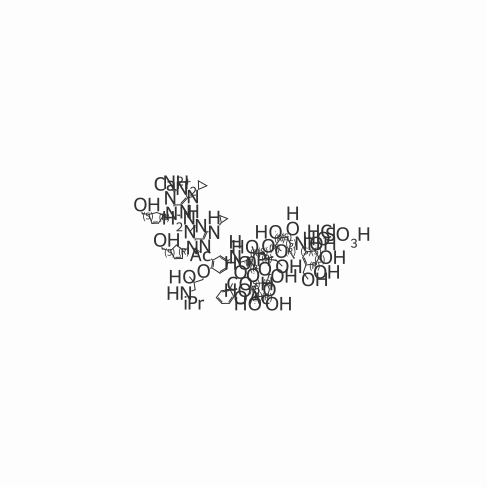 CC(=O)Oc1ccccc1C(=O)O.CCCC(=O)Nc1ccc(OCC(O)CNC(C)C)c(C(C)=O)c1.C[C@H]1O[C@H](O[C@H]2[C@H](O)[C@@H](O)[C@@H](O[C@H]3[C@H](O)[C@@H](O)[C@H](O)O[C@@H]3CO)O[C@@H]2CO)[C@H](O)[C@@H](O)[C@@H]1N[C@H]1C=C(CO)[C@@H](O)[C@H](O)[C@H]1O.Cl.Nc1nc(NC2CC2)c2ncn([C@H]3C=C[C@@H](CO)C3)c2n1.Nc1nc(NC2CC2)c2ncn([C@H]3C=C[C@@H](CO)C3)c2n1.O=S(=O)(O)O.[Ca+2]